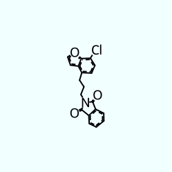 O=C1c2ccccc2C(=O)N1CCCc1ccc(Cl)c2occc12